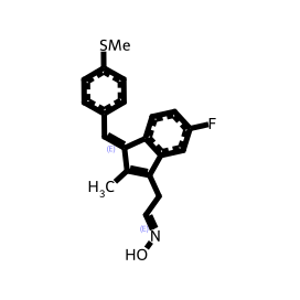 CSc1ccc(/C=C2/C(C)=C(C/C=N/O)c3cc(F)ccc32)cc1